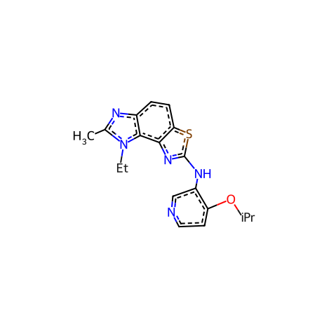 CCn1c(C)nc2ccc3sc(Nc4cnccc4OC(C)C)nc3c21